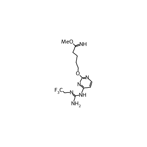 COC(=N)CCCCOc1nccc(NC(N)=NCC(F)(F)F)n1